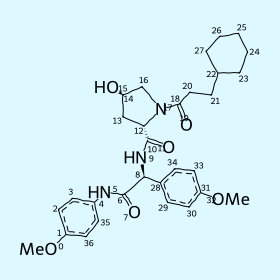 COc1ccc(NC(=O)[C@@H](NC(=O)[C@@H]2C[C@@H](O)CN2C(=O)CCC2CCCCC2)c2ccc(OC)cc2)cc1